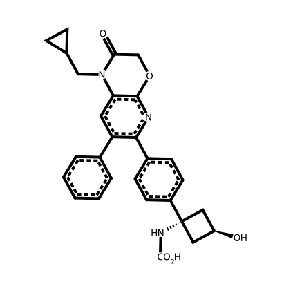 O=C(O)N[C@]1(c2ccc(-c3nc4c(cc3-c3ccccc3)N(CC3CC3)C(=O)CO4)cc2)C[C@@H](O)C1